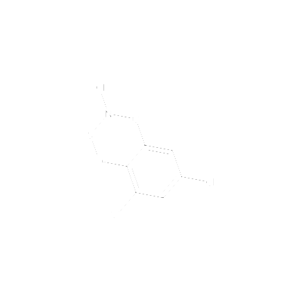 Cn1oc2cc(Cl)cc(Cl)c2os1